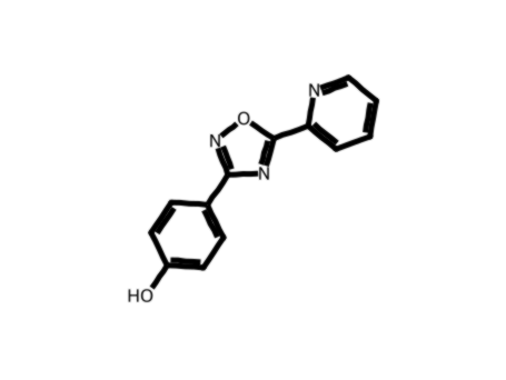 Oc1ccc(-c2noc(-c3ccccn3)n2)cc1